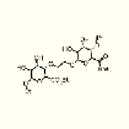 CCOC(=O)C1O[C@@H](OCC)[C@@H](O)[C@@H](O)[C@@H]1OCCO[C@@H]1OC(C(=O)NC)[C@@H](OC(C)C)[C@H](O)[C@@H]1O